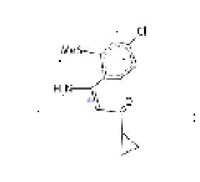 CSc1cc(Cl)ccc1/C(N)=C\C(=O)C1CC1